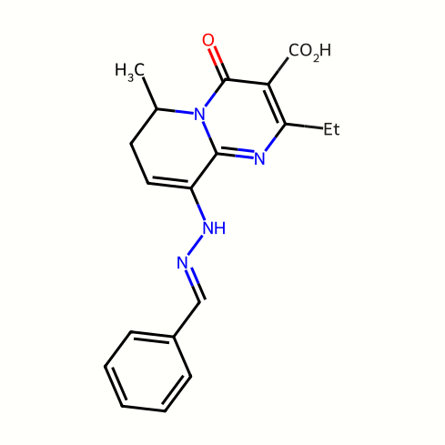 CCc1nc2n(c(=O)c1C(=O)O)C(C)CC=C2NN=Cc1ccccc1